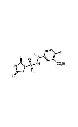 CCOC(=O)c1cc([C@@H](C)NS(=O)(=O)N2CC(=O)NC2=O)ccc1F